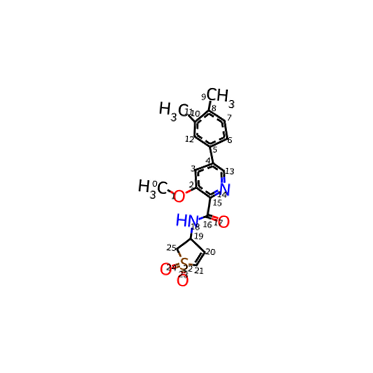 COc1cc(-c2ccc(C)c(C)c2)cnc1C(=O)NC1C=CS(=O)(=O)C1